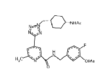 COc1cc(CNC(=O)c2cc(-c3nnn(C[C@H]4CC[C@@H](NC(C)=O)CC4)n3)cc(C)n2)ccc1F